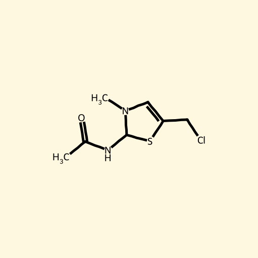 CC(=O)NC1SC(CCl)=CN1C